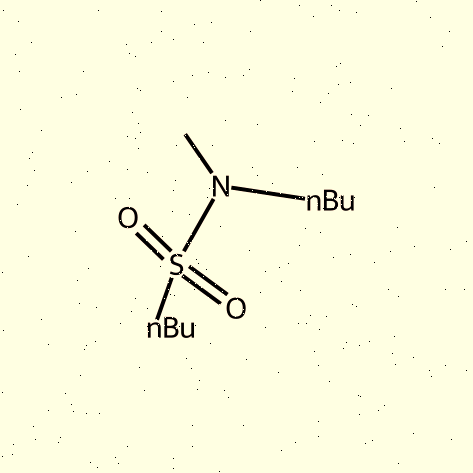 CCCCN(C)S(=O)(=O)CCCC